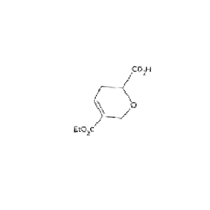 CCOC(=O)C1=CCC(C(=O)O)OC1